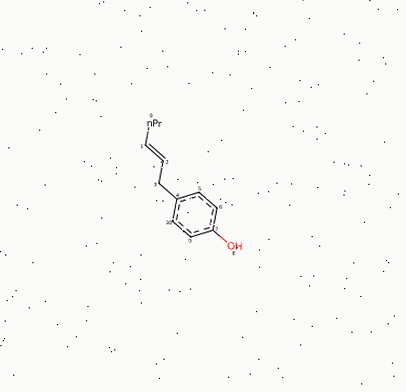 CCCC=CCc1ccc(O)cc1